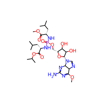 COC(=O)[C@H](CC(C)C)NP(=O)(N[C@@H](CC(C)C)C(=O)OC(C)C)OC[C@H]1O[C@@H](N2C=NC3C(OC)=NC(N)=NC32)C(O)C1O